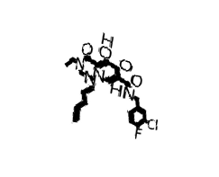 C=CCCCN1CN(CC)C(=O)c2c(O)c(=O)c(C(=O)NCc3ccc(F)c(Cl)c3)cn21